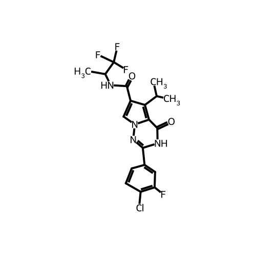 CC(C)c1c(C(=O)NC(C)C(F)(F)F)cn2nc(-c3ccc(Cl)c(F)c3)[nH]c(=O)c12